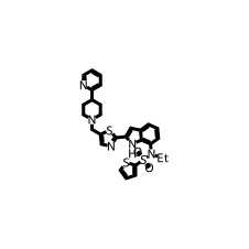 CCN(c1cccc2cc(-c3ncc(CN4CCC(c5ccccn5)CC4)s3)[nH]c12)S(=O)(=O)c1cccs1